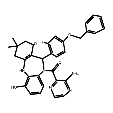 CC1(C)CC(=O)C2=C(C1)Nc1c(O)cccc1N(C(=O)c1nccnc1N)C2c1ccc(OCc2ccccc2)cc1F